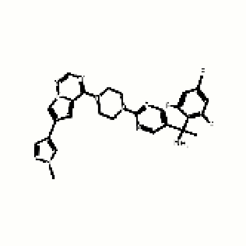 Cn1cc(-c2cc3c(N4CCN(c5ncc(C(C)(N)c6c(F)cc(F)cc6F)cn5)CC4)ncnn3c2)cn1